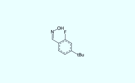 CC(C)(C)c1ccc(/C=N\O)c(F)c1